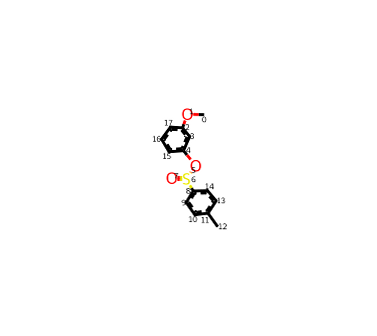 COc1[c]c(OS(=O)c2ccc(C)cc2)ccc1